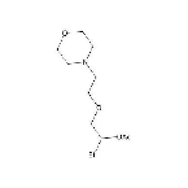 CCC(COCCN1CCOCC1)OC(C)=O